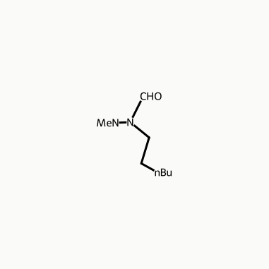 CCCCCCN(C=O)NC